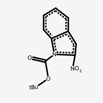 CC(C)(C)OC(=O)n1c([N+](=O)[O-])cc2ccccc21